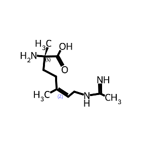 CC(=N)NC/C=C(/C)CC[C@](C)(N)C(=O)O